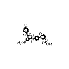 CO[C@@H]1C[C@H](C(=O)Nc2ccc(-n3cc(OC(=O)O)ccc3=O)cc2F)N(C(=O)Nc2ccc(Cl)cn2)C1